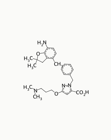 CN(C)CCCOc1cc(C(=O)O)n(Cc2ccccc2)n1.Cc1ccc(N)c2c1CC(C)(C)O2